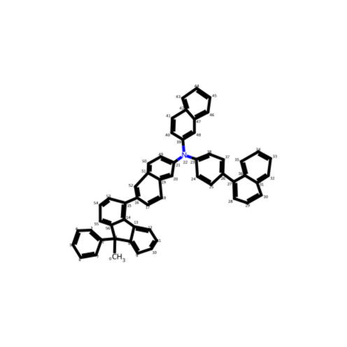 CC1(c2ccccc2)c2ccccc2-c2c(-c3ccc4cc(N(c5ccc(-c6cccc7ccccc67)cc5)c5ccc6ccccc6c5)ccc4c3)cccc21